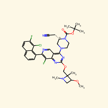 COC1CN(C)C1(C)COc1nc(N2CCN(C(=O)OC(C)(C)C)[C@@H](CC#N)C2)c2cnc(-c3cccc4ccc(F)c(Cl)c34)c(F)c2n1